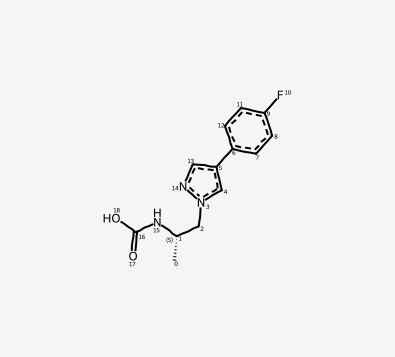 C[C@@H](Cn1cc(-c2ccc(F)cc2)cn1)NC(=O)O